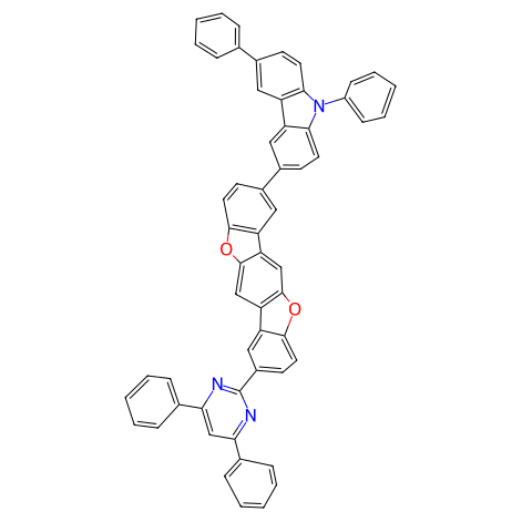 c1ccc(-c2ccc3c(c2)c2cc(-c4ccc5oc6cc7c(cc6c5c4)oc4ccc(-c5nc(-c6ccccc6)cc(-c6ccccc6)n5)cc47)ccc2n3-c2ccccc2)cc1